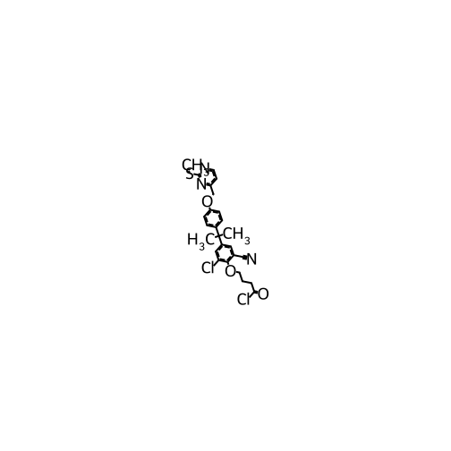 CSc1nccc(COc2ccc(C(C)(C)c3cc(Cl)c(OCCCC(=O)Cl)c(C#N)c3)cc2)n1